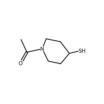 CC(=O)N1CCC(S)CC1